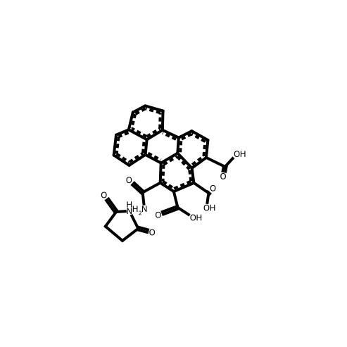 NC(=O)c1c(C(=O)O)c(C(=O)O)c2c(C(=O)O)ccc3c4cccc5cccc(c1c23)c54.O=C1CCC(=O)N1